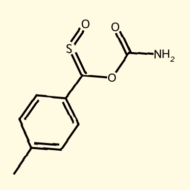 Cc1ccc(C(OC(N)=O)=S=O)cc1